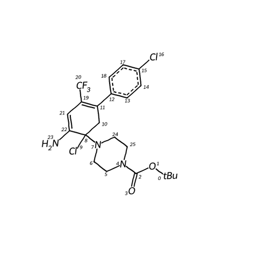 CC(C)(C)OC(=O)N1CCN(C2(Cl)CC(c3ccc(Cl)cc3)=C(C(F)(F)F)C=C2N)CC1